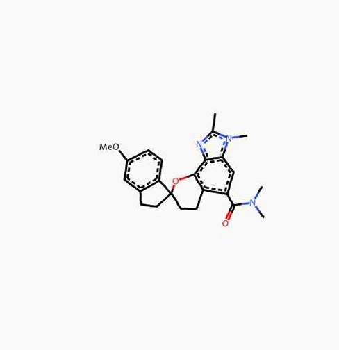 COc1ccc2c(c1)CCC21CCc2c(C(=O)N(C)C)cc3c(nc(C)n3C)c2O1